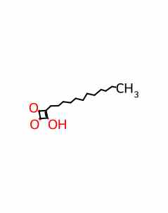 CCCCCCCCCCCCc1c(O)c(=O)c1=O